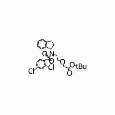 CC(C)(C)OC(=O)COCCN(C1CCc2ccccc21)S(=O)(=O)c1ccc(Cl)cc1Cl